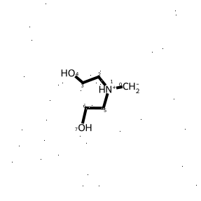 [CH2-][NH+](CCO)CCO